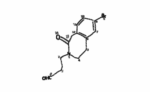 O=CCCN1CCc2cc(Br)ccc2C1=O